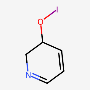 IOC1C=CC=NC1